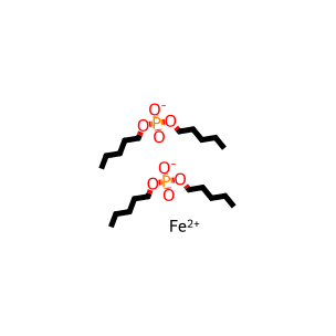 CCCCCOP(=O)([O-])OCCCCC.CCCCCOP(=O)([O-])OCCCCC.[Fe+2]